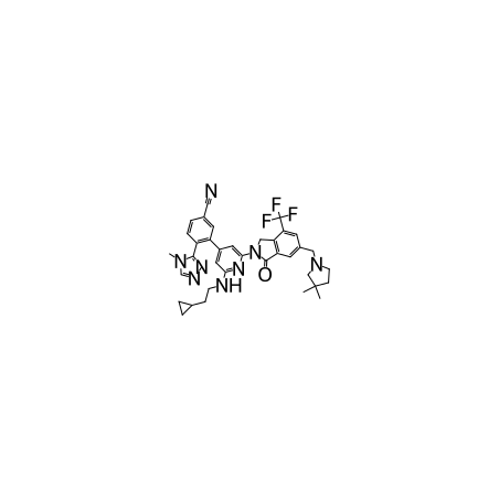 Cn1cnnc1-c1ccc(C#N)cc1-c1cc(NCCC2CC2)nc(N2Cc3c(cc(CN4CCC(C)(C)C4)cc3C(F)(F)F)C2=O)c1